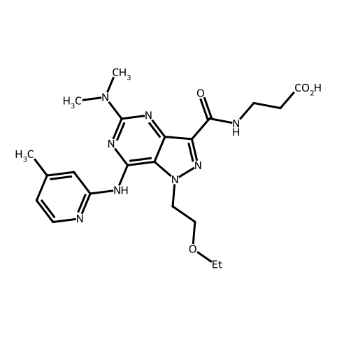 CCOCCn1nc(C(=O)NCCC(=O)O)c2nc(N(C)C)nc(Nc3cc(C)ccn3)c21